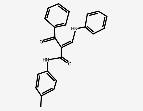 Cc1ccc(NC(=O)C(=CNc2ccccc2)C(=O)c2ccccc2)cc1